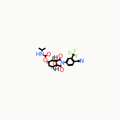 CC(C)NC(=O)O[C@@H]1C[C@]2(C)O[C@@]1(C)[C@@H]1C(=O)N(c3ccc(C#N)c(C(F)(F)F)c3)C(=O)[C@@H]12